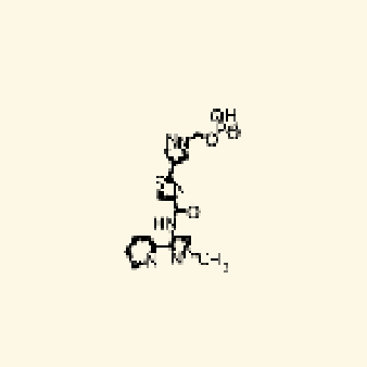 Cn1cc(NC(=O)c2csc(-c3cnn(CO[PH](=O)O)c3)n2)c(-c2ccccn2)n1